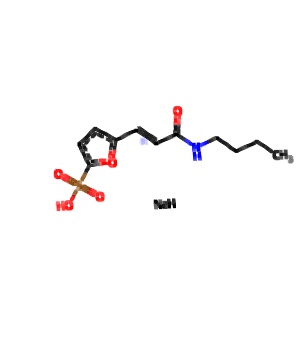 CCCCNC(=O)/C=C/c1ccc(S(=O)(=O)O)o1.[NaH]